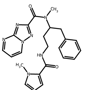 CN(C(=O)c1nc2ncccn2n1)C(CCNC(=O)c1cccn1C)Cc1ccccc1